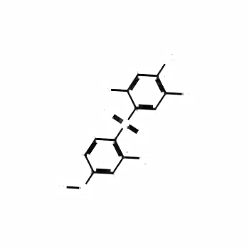 CCOc1ccc(S(=O)(=O)c2cc(CC)c(O)cc2CC)c(CC)c1